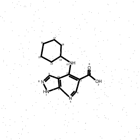 O=C(O)c1cnc2[nH]ncc2c1NC1CCCCC1